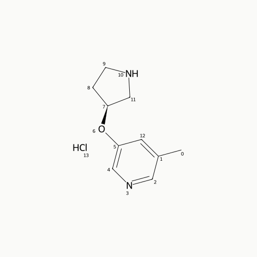 Cc1cncc(O[C@H]2CCNC2)c1.Cl